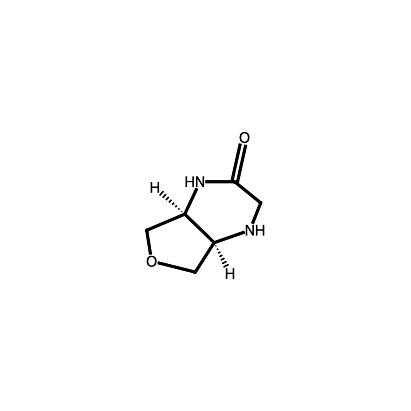 O=C1CN[C@H]2COC[C@H]2N1